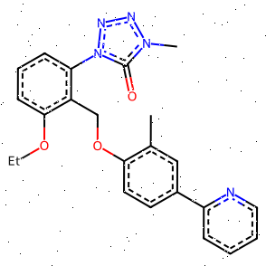 CCOc1cccc(-n2nnn(C)c2=O)c1COc1ccc(-c2ccccn2)cc1C